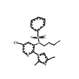 CCCCN(c1cc(Cl)cnc1-n1cc(C)nc1C)S(=O)(=O)c1ccccc1